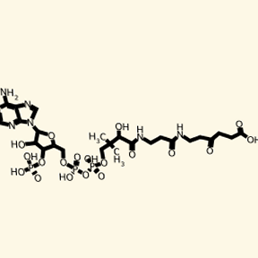 CC(C)(COP(=O)(O)OP(=O)(O)OCC1OC(n2cnc3c(N)ncnc32)C(O)C1OP(=O)(O)O)C(O)C(=O)NCCC(=O)NCCC(=O)CCC(=O)O